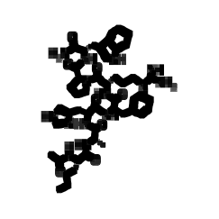 CCCC[C@H](NC(C)=O)C(=O)N[C@@H](C)C(=O)N[C@@H](Cc1c[nH]cn1)C(=O)N[C@H](Cc1ccccc1)C(=O)N[C@@H](CCCNC(=N)N)C(=O)N1CCC[C@H]1C(=O)N[C@@H](Cc1c[nH]c2ccccc12)C(N)=O